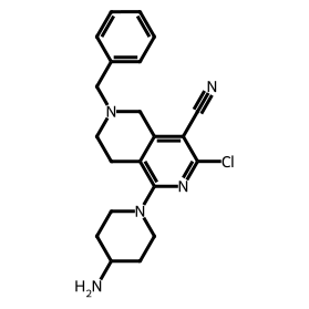 N#Cc1c(Cl)nc(N2CCC(N)CC2)c2c1CN(Cc1ccccc1)CC2